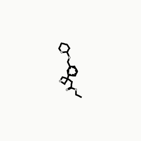 CCOC(=O)CC1(c2cccc(COC3CCCCO3)c2)COC1